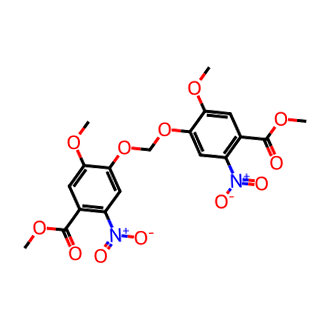 COC(=O)c1cc(OC)c(OCOc2cc([N+](=O)[O-])c(C(=O)OC)cc2OC)cc1[N+](=O)[O-]